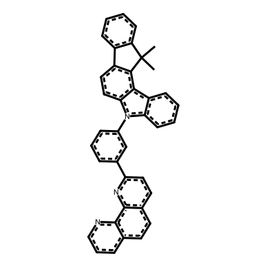 CC1(C)c2ccccc2-c2ccc3c(c21)c1ccccc1n3-c1cccc(-c2ccc3ccc4cccnc4c3n2)c1